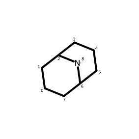 C1CC2CCCC(C1)[N]2